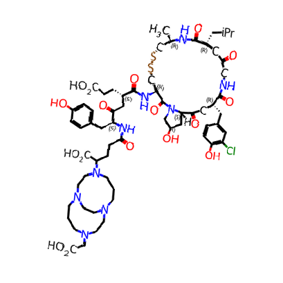 CC(C)C[C@@H]1CC(=O)CNC(=O)[C@H](Cc2ccc(O)c(Cl)c2)CC(=O)[C@@H]2C[C@@H](O)CN2C(=O)[C@@H](NC(=O)[C@@H](CCC(=O)O)CC(=O)[C@H](Cc2ccc(O)cc2)NC(=O)CCC(C(=O)O)N2CCCN3CCN(CCCN(CC(=O)O)CC3)CC2)CSSC[C@@H](C)NC1=O